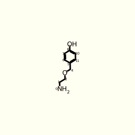 NCCOCc1ccc(O)cc1